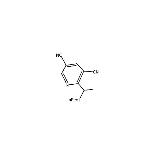 CCCCCC(C)c1ncc(C#N)cc1C#N